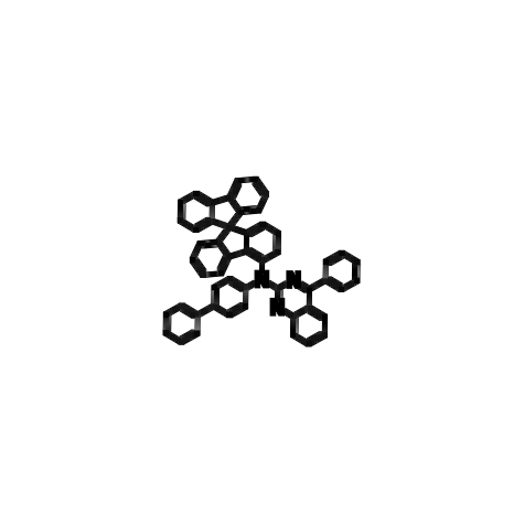 c1ccc(-c2ccc(N(c3nc(-c4ccccc4)c4ccccc4n3)c3cccc4c3-c3ccccc3C43c4ccccc4-c4ccccc43)cc2)cc1